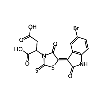 O=C(O)CC(C(=O)O)N1C(=O)/C(=C2/C(=O)Nc3ccc(Br)cc32)SC1=S